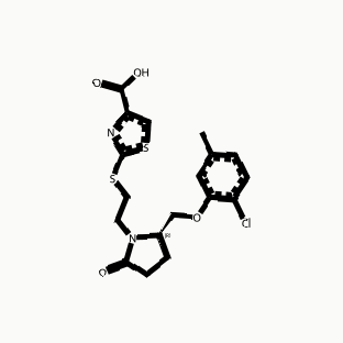 Cc1ccc(Cl)c(OC[C@H]2CCC(=O)N2CCSc2nc(C(=O)O)cs2)c1